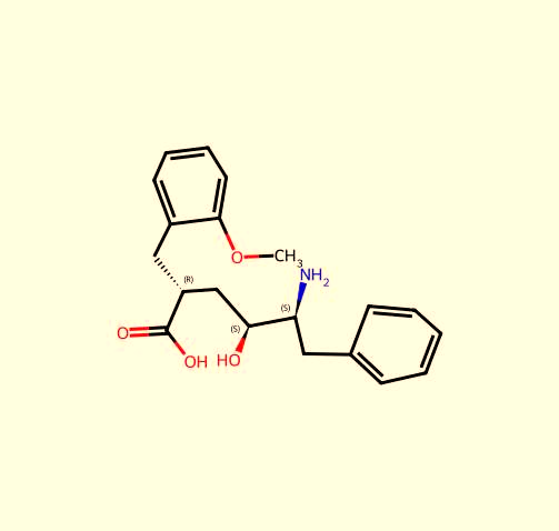 COc1ccccc1C[C@H](C[C@H](O)[C@@H](N)Cc1ccccc1)C(=O)O